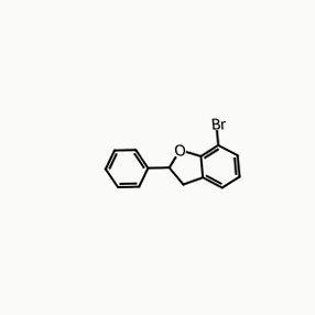 Brc1cccc2c1OC(c1ccccc1)C2